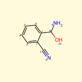 N#Cc1cc[c]cc1C(N)O